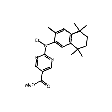 CCN(c1ncc(C(=O)OC)cn1)c1cc2c(cc1C)C(C)(C)CCC2(C)C